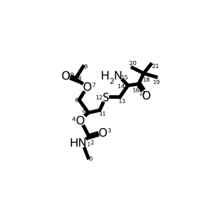 CNC(=O)OC(COC(C)=O)CSCC(N)C(=O)C(C)(C)C